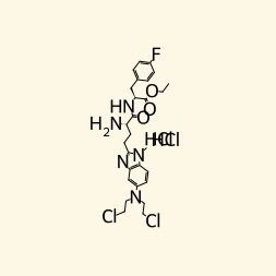 CCOC(=O)[C@H](Cc1ccc(F)cc1)NC(=O)[C@@H](N)CCc1nc2cc(N(CCCl)CCCl)ccc2n1C.Cl.Cl